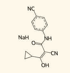 N#C/C(C(=O)Nc1ccc(C#N)cc1)=C(\O)C1CC1.[NaH]